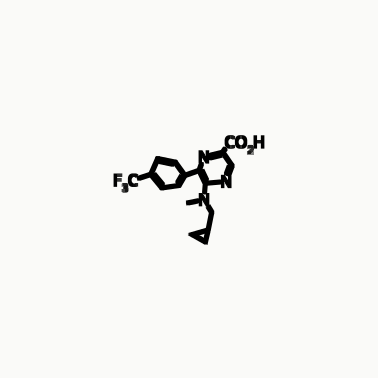 CN(CC1CC1)c1ncc(C(=O)O)nc1-c1ccc(C(F)(F)F)cc1